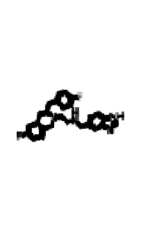 Fc1ccc(CC2Cc3cc(F)ccc3CN2CCNCc2ccc3[nH]cnc3c2)cc1